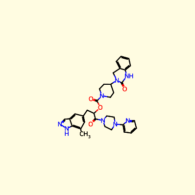 Cc1cc(CC(OC(=O)N2CCC(N3Cc4ccccc4NC3=O)CC2)C(=O)N2CCN(c3ccccn3)CC2)cc2cn[nH]c12